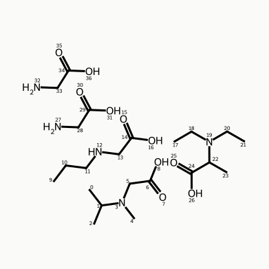 CC(C)N(C)CC(=O)O.CCCNCC(=O)O.CCN(CC)C(C)C(=O)O.NCC(=O)O.NCC(=O)O